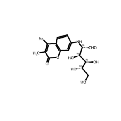 CC(=O)c1c(C)c(=O)oc2cc(N[C@H](C=O)[C@H](O)[C@@H](O)[C@@H](O)CO)ccc12